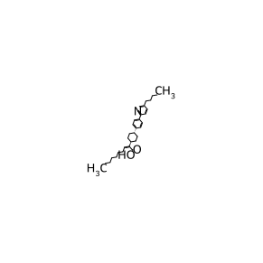 CCCCCCCC=C(C(=O)O)[C@H]1CC[C@H](c2ccc(-c3ccc(CCCCC)cn3)cc2)CC1